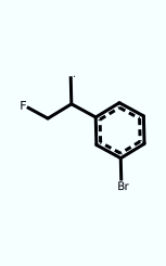 [CH2]C(CF)c1cccc(Br)c1